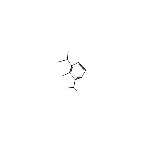 Cc1c(C(C)N)cccc1C(F)F.Cl